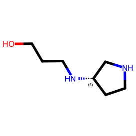 OCCCN[C@H]1CCNC1